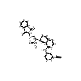 C#Cc1cccc(Nc2ncnc3ccc(N(CCN4C(=O)c5ccccc5C4=O)[SH](=O)=O)cc23)c1